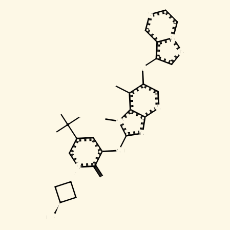 Cn1c(Nc2cc(C(F)(F)F)cn([C@H]3C[C@H](O)C3)c2=O)nc2ncc(Oc3cnn4ccncc34)c(Cl)c21